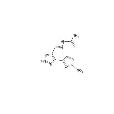 NC(=S)N/N=C/c1c[nH]nc1-c1ccc([N+](=O)[O-])o1